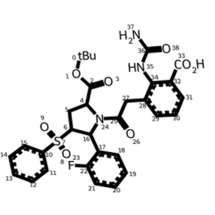 CC(C)(C)OC(=O)C1CC(S(=O)(=O)c2ccccc2)C(c2ccccc2F)N1C(=O)Cc1cccc(C(=O)O)c1NC(N)=O